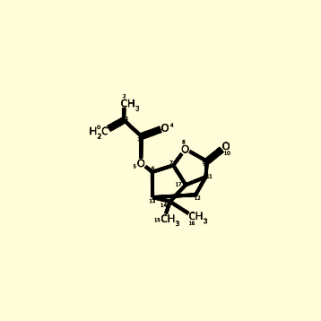 C=C(C)C(=O)OC1C2OC(=O)C3CC1C(C)(C)C32